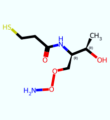 C[C@@H](O)[C@@H](COON)NC(=O)CCS